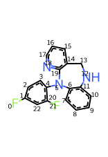 Fc1ccc(N2c3[c]cccc3NCc3cccnc32)c(F)c1